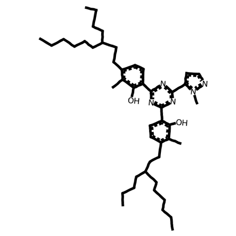 CCCCCCC(CCCC)CCc1ccc(-c2nc(-c3ccc(CCC(CCCC)CCCCCC)c(C)c3O)nc(-c3ccnn3C)n2)c(O)c1C